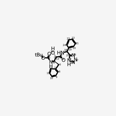 CC(C)(C)OC(=O)N[C@H](Cc1ccccc1)[C@H](O)C(=O)NC(c1ccccc1)c1nnn[nH]1